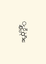 CCN(C)/C=N\c1cc(C)c(Oc2snc(C3(C)CCCCC3)c2C#N)cc1C